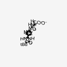 CC(C)(C)OC(=O)NC(=N)c1ccc(NC(=O)NCC(=O)[O-])cc1.[Na+]